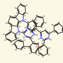 c1ccc(-c2cc(-c3ccc(-n4c5ccccc5c5ccc6c7ccccc7n(-c7nc(-c8ccccc8)nc(-c8ccccc8-c8ccccc8)n7)c6c54)cc3)nc(-c3ccccc3)n2)cc1